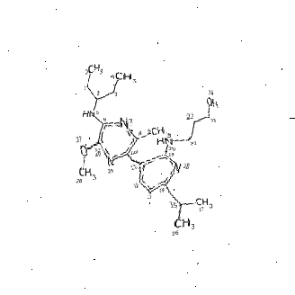 CCC(CC)Nc1nc(C)c(-c2ccc(C(C)C)nc2NCCCO)nc1OC